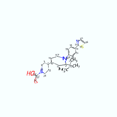 CC(C)(C)C1CC(C2CCN(C(=O)O)CC2)CCN1c1ccc(-c2nccs2)cc1